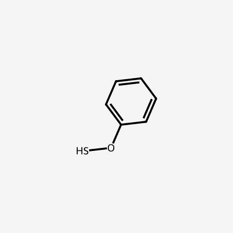 SOc1ccccc1